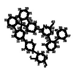 Cc1cc(C)c(-c2ccc(-c3ccc4c(c3)C3(c5ccccc5-c5cc(-c6cc(-c7ccccc7-c7ccccc7)nc(C)n6)ccc53)c3ccccc3-4)cc2)cn1